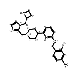 CC(=O)c1ccc(COc2cccc(C3CCN(Cc4nccn4C[C@@H]4CCO4)CC3)n2)c(F)c1